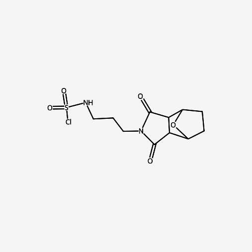 O=C1C2C3CCC(O3)C2C(=O)N1CCCNS(=O)(=O)Cl